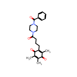 CC1=C(C)C(=O)C(CCCC(=O)N2CCN(C(=O)c3ccccc3)CC2)=C(C)C1=O